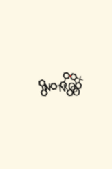 CC1(C)c2ccccc2-c2c1ccc1c2Oc2c(cccc2-c2cc(-c3ccccc3)cc(-c3ccc(-n4c5ccccc5c5ccccc54)cc3)n2)O1